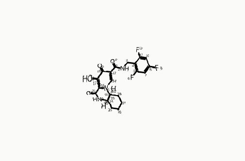 O=C(NCc1c(F)cc(F)cc1F)c1cn2c(c(O)c1=O)C(=O)N[C@@H]1CCCC[C@@H]12